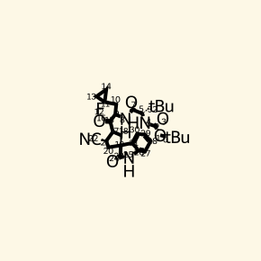 CC(C)(C)OC(=O)N[C@H](C(=O)NC(CC1(F)CC1)C(=O)C1C[C@]2(C[C@H]1C#N)C(=O)Nc1ccccc12)C(C)(C)C